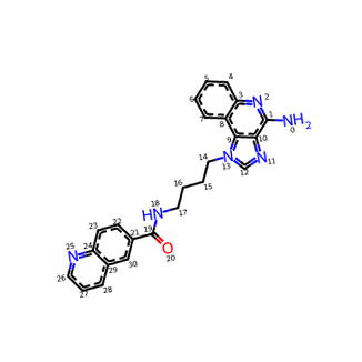 Nc1nc2ccccc2c2c1ncn2CCCCNC(=O)c1ccc2ncccc2c1